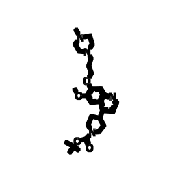 COc1cc2c(C3CCN(C(=O)OC(C)(C)C)CC3)ccnc2cc1OCCCN1CCN(C)CC1